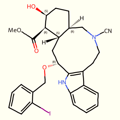 COC(=O)[C@@H]1[C@H]2C[C@@H](OCc3ccccc3I)c3[nH]c4ccccc4c3CCN(C#N)C[C@@H]2CC[C@@H]1O